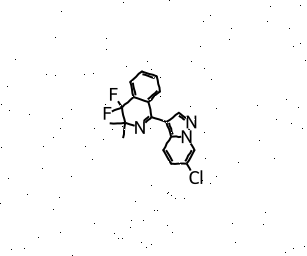 CC1(C)N=C(c2cnn3cc(Cl)ccc23)c2ccccc2C1(F)F